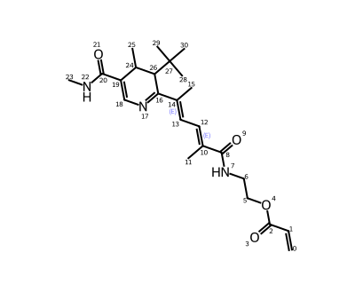 C=CC(=O)OCCNC(=O)/C(C)=C/C=C(\C)C1=NC=C(C(=O)NC)C(C)C1C(C)(C)C